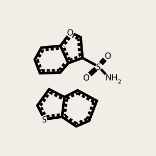 NS(=O)(=O)c1coc2ccccc12.c1ccc2sccc2c1